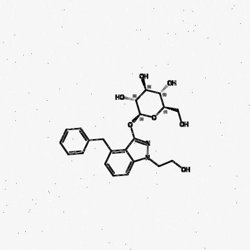 OCCn1nc(O[C@@H]2O[C@H](CO)[C@@H](O)[C@H](O)[C@H]2O)c2c(Cc3ccccc3)cccc21